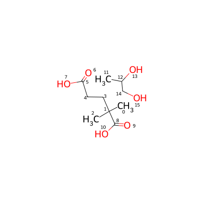 CC(C)(CCC(=O)O)C(=O)O.CC(O)CO